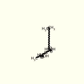 CCCCC(=O)NC(CCSSCCC(NC(=O)CCCCCCCCCCCCCCCCN(C)C)C(=O)O)C(=O)O